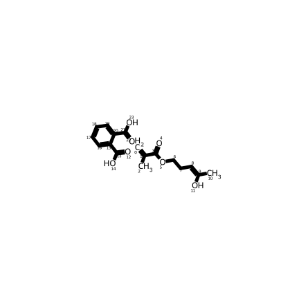 C=C(C)C(=O)OCCC=C(C)O.O=C(O)c1ccccc1C(=O)O